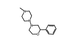 CN1CCN(N2CCOC(c3ccccc3)C2)CC1